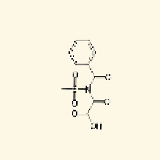 CS(=O)(=O)N(C(=O)C(=O)O)C(=O)c1ccccc1